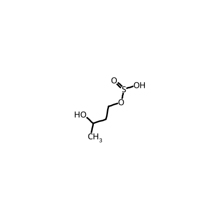 CC(O)CCOS(=O)O